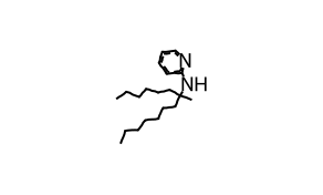 CCCCCCCC(C)(CCCCCC)Nc1ccccn1